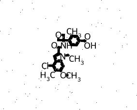 CCn1c(C(=O)NC2(c3ccc(C(=O)O)cc3C)COC2)cc2c(Cl)c(C)c(OC)cc21